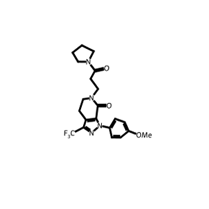 COc1ccc(-n2nc(C(F)(F)F)c3c2C(=O)N(CCC(=O)N2CCCC2)CC3)cc1